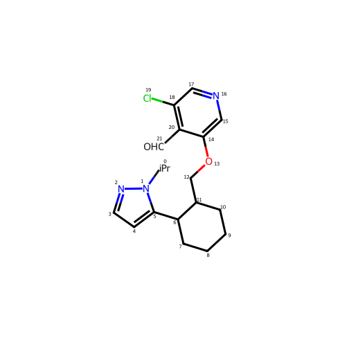 CC(C)n1nccc1C1CCCCC1COc1cncc(Cl)c1C=O